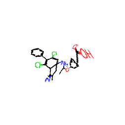 CC(C)CC1(NC(C)Oc2ccc(C(=O)O)cc2)C=C(Cl)C(c2ccccc2)=C(Cl)C1C#N